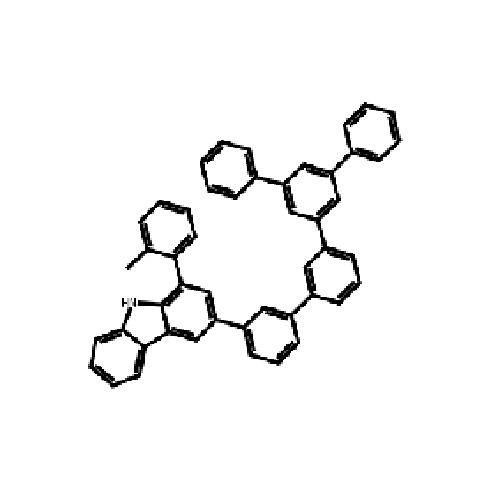 Cc1ccccc1-c1cc(-c2cccc(-c3cccc(-c4cc(-c5ccccc5)cc(-c5ccccc5)c4)c3)c2)cc2c1[nH]c1ccccc12